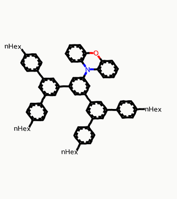 CCCCCCc1ccc(-c2cc(-c3ccc(CCCCCC)cc3)cc(-c3cc(-c4cc(-c5ccc(CCCCCC)cc5)cc(-c5ccc(CCCCCC)cc5)c4)cc(N4c5ccccc5Oc5ccccc54)c3)c2)cc1